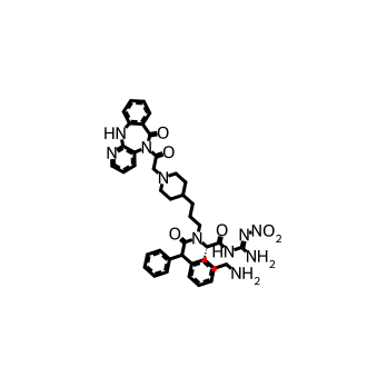 NCCC[C@@H](C(=O)NC(N)=N[N+](=O)[O-])N(CCCC1CCN(CC(=O)N2C(=O)c3ccccc3Nc3ncccc32)CC1)C(=O)C(c1ccccc1)c1ccccc1